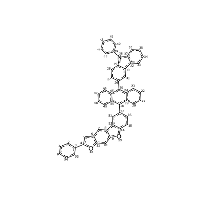 c1ccc(-c2cc3cc4c(cc3o2)oc2ccc(-c3c5ccccc5c(-c5ccc6c(c5)c5ccccc5n6-c5ccccc5)c5ccccc35)cc24)cc1